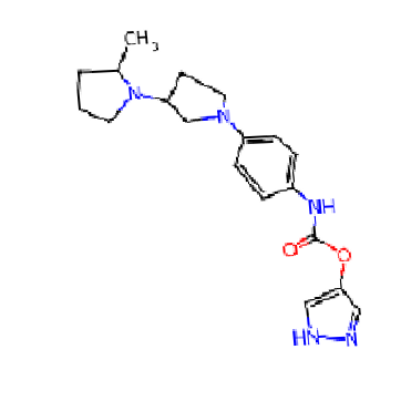 CC1CCCN1C1CCN(c2ccc(NC(=O)Oc3cn[nH]c3)cc2)C1